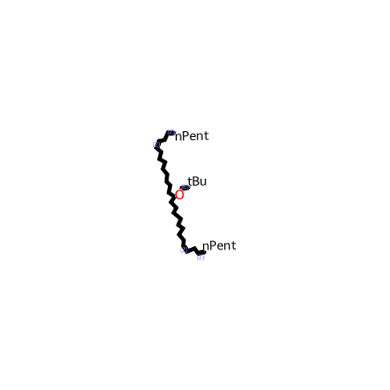 CCCCC/C=C\C/C=C\CCCCCCCCC(CCCCCCCC/C=C\C/C=C\CCCCC)O/C=C/C(C)(C)C